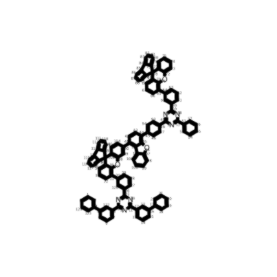 c1ccc(-c2cccc(-c3nc(-c4cccc(-c5ccccc5)c4)nc(-c4cccc(-c5cccc6c5Oc5cc(-c7ccc(-c8ccc(-c9nc(-c%10ccccc%10)nc(-c%10cccc(-c%11cccc%12c%11Oc%11ccccc%11C%12%11c%12ccccc%12-c%12ccccc%12%11)c%10)n9)cc8)c8oc9ccccc9c78)ccc5C65c6ccccc6-c6ccccc65)c4)n3)c2)cc1